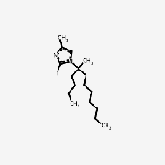 CCCCCCCC(C)(CCCC)n1cc(C)nc1I